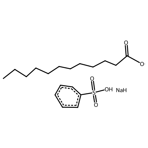 CCCCCCCCCCCC([O])=O.O=S(=O)(O)c1ccccc1.[NaH]